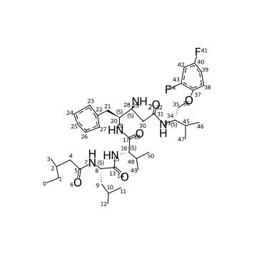 CCC(C)CC(=O)N[C@@H](CC(C)C)C(=O)N[C@H](C(=O)N[C@@H](Cc1ccccc1)[C@@H](N)CC(=O)N[C@H](COc1ccc(F)cc1F)C(C)C)C(C)C